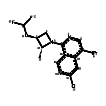 CC(C)c1cnc(N2C[C@H](OC(F)F)[C@H]2C)c2cnc(Cl)cc12